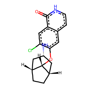 N[C@H]1C[C@H]2CC[C@@H](C1)[C@H]2Oc1cc2cc[nH]c(=O)c2cc1Cl